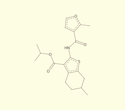 Cc1occc1C(=O)Nc1sc2c(c1C(=O)OC(C)C)CCC(C)C2